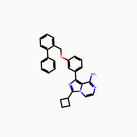 Nc1nccn2c(C3CCC3)nc(-c3cccc(OCc4ccccc4-c4ccccc4)c3)c12